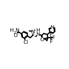 CN(C)[C@H](CNC(=O)CC(c1cccnc1)C1(C(F)(F)F)CC1)Cc1ccc(C(N)=O)cc1Cl